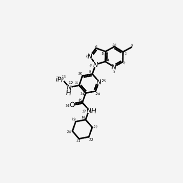 Cc1cnc2c(cnn2-c2cc(NC(C)C)c(C(=O)NC3CCCCC3)cn2)c1